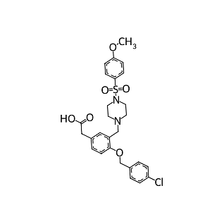 COc1ccc(S(=O)(=O)N2CCN(Cc3cc(CC(=O)O)ccc3OCc3ccc(Cl)cc3)CC2)cc1